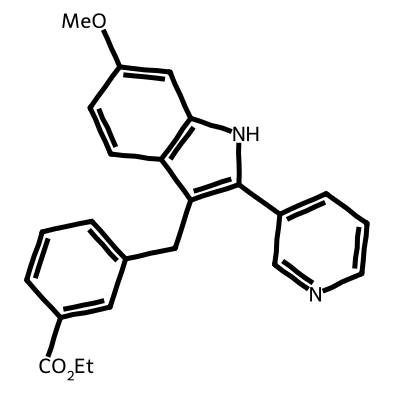 CCOC(=O)c1cccc(Cc2c(-c3cccnc3)[nH]c3cc(OC)ccc23)c1